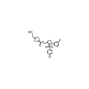 O=C(OC[C@H]1CC[C@@H](c2cccc(F)c2)N1S(=O)(=O)c1ccc(Cl)cc1)N1CCN(CCO)CC1